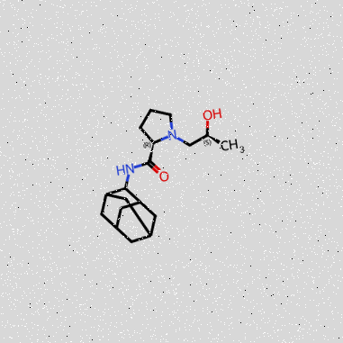 C[C@H](O)CN1CCC[C@@H]1C(=O)NC1C2CC3CC(C2)CC1C3